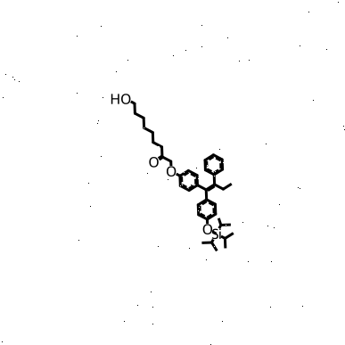 CC/C(=C(/c1ccc(OCC(=O)CCCCCCCO)cc1)c1ccc(O[Si](C(C)C)(C(C)C)C(C)C)cc1)c1ccccc1